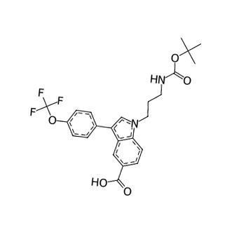 CC(C)(C)OC(=O)NCCCn1cc(-c2ccc(OC(F)(F)F)cc2)c2cc(C(=O)O)ccc21